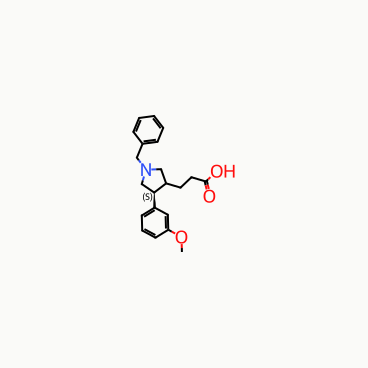 COc1cccc([C@H]2CN(Cc3ccccc3)CC2CCC(=O)O)c1